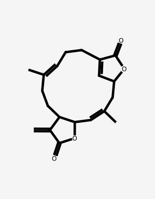 C=C1C(=O)OC2/C=C(/C)CC3C=C(CC/C=C(\C)CCC12)C(=O)O3